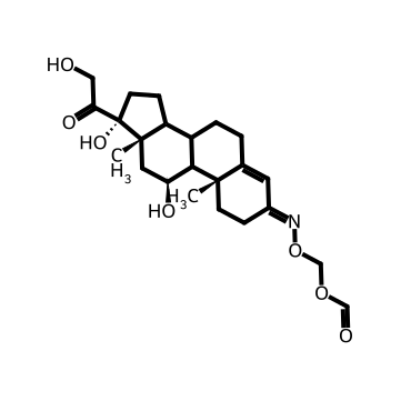 C[C@]12CCC(=NOCOC=O)C=C1CCC1C2[C@@H](O)C[C@@]2(C)C1CC[C@]2(O)C(=O)CO